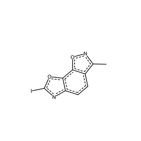 Cc1noc2c1ccc1nc(I)oc12